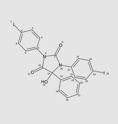 O=C1N(c2ccc(I)cc2)C(=O)C(O)(c2ccccc2)N1c1ccc(I)cc1